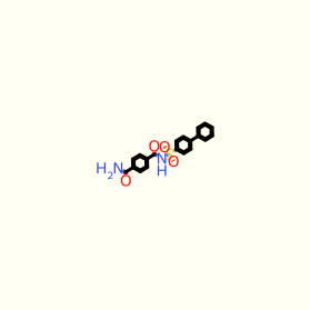 NC(=O)c1ccc(C(=O)NS(=O)(=O)c2ccc(-c3ccccc3)cc2)cc1